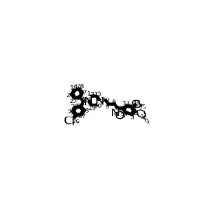 COc1cc2onc(CCCN3CCN(C(c4ccccc4)c4ccc(Cl)cc4)CC3)c2cc1OC